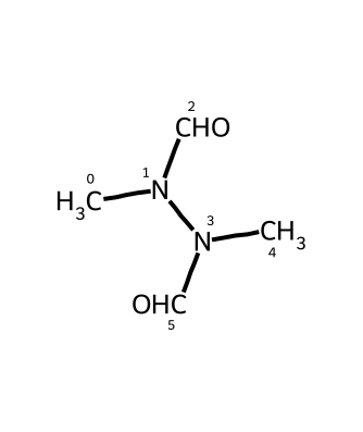 CN(C=O)N(C)C=O